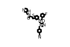 N#Cc1ccc(Cn2cncc2CN(C(=O)c2cccc(F)c2)c2ccc3sc(C(=O)NCc4cccnc4)cc3c2)cc1